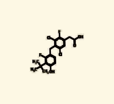 C[Si](C)(C)c1c(O)ccc(Cc2c(Cl)cc(CC(=O)O)c(F)c2Cl)c1F